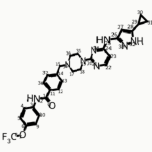 O=C(Nc1ccc(OC(F)(F)F)cc1)c1ccc(CN2CCN(c3nccc(Nc4cc(C5CC5)[nH]n4)n3)CC2)cc1